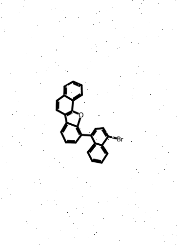 Brc1ccc(-c2cccc3c2oc2c4ccccc4ccc32)c2ccccc12